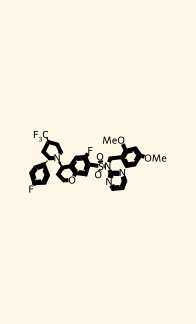 COc1ccc(CN(c2ncccn2)S(=O)(=O)c2cc3c(cc2F)[C@H](N2CC[C@@H](C(F)(F)F)C[C@H]2c2ccc(F)cc2)CCO3)c(OC)c1